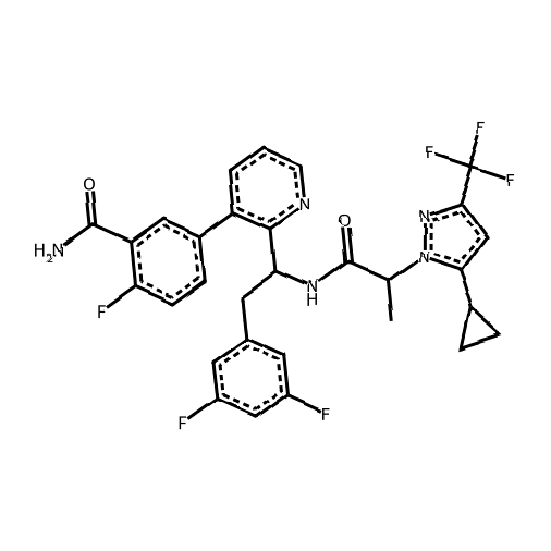 CC(C(=O)NC(Cc1cc(F)cc(F)c1)c1ncccc1-c1ccc(F)c(C(N)=O)c1)n1nc(C(F)(F)F)cc1C1CC1